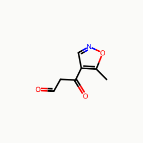 Cc1oncc1C(=O)CC=O